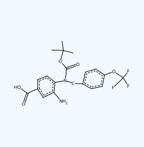 CC(C)(C)OC(=O)N(Cc1ccc(OC(F)(F)F)cc1)c1ccc(C(=O)O)cc1N